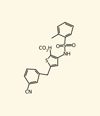 Cc1ccccc1S(=O)(=O)Nc1cc(Cc2cccc(C#N)c2)sc1C(=O)O